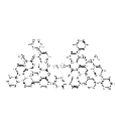 CN(C(=O)c1cc(C(=O)N(C)c2ccc(-c3ccccn3)cc2)cc(-c2ccccc2-c2ccc(-c3cnc(-c4ccc(C5C=CC=CC5c5cc(C(=O)N(C)c6ccc(-c7ccccn7)cc6)cc(C(=O)N(C)c6ccc(-c7ccccn7)cc6)c5)cc4)cn3)cc2)c1)c1ccc(-c2ccccn2)cc1